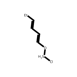 CCC=CC=CO[SiH2]Cl